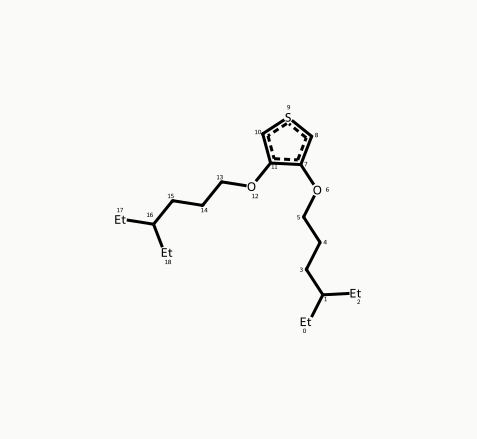 CCC(CC)CCCOc1cscc1OCCCC(CC)CC